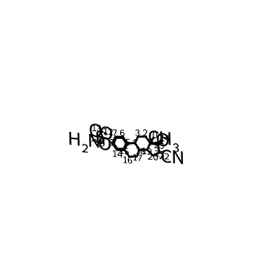 CC12CCC3c4ccc(OS(N)(=O)=O)cc4CCC3C1CC(C#N)C2=O